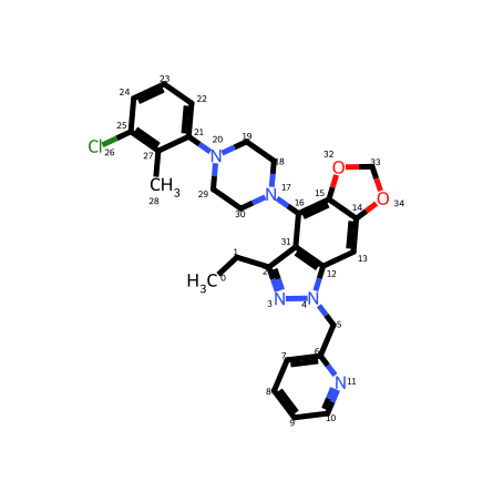 CCc1nn(Cc2ccccn2)c2cc3c(c(N4CCN(c5cccc(Cl)c5C)CC4)c12)OCO3